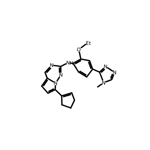 CCOc1cc(-c2nncn2C)ccc1Nc1ncc2ccc(C3=CCCC3)n2n1